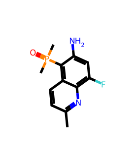 Cc1ccc2c(P(C)(C)=O)c(N)cc(F)c2n1